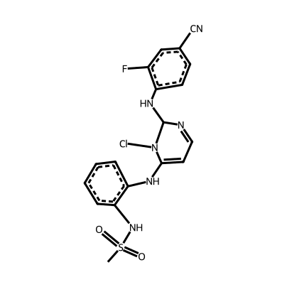 CS(=O)(=O)Nc1ccccc1NC1=CC=NC(Nc2ccc(C#N)cc2F)N1Cl